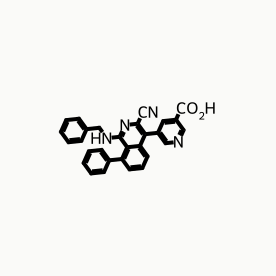 N#Cc1nc(NCc2ccccc2)c2c(-c3ccccc3)cccc2c1-c1cncc(C(=O)O)c1